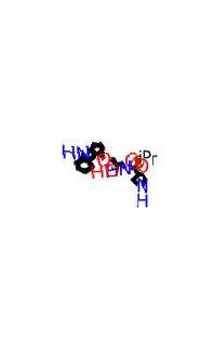 CC(C)S(=O)(=O)C(NC[C@H](O)COc1cccc2[nH]c3ccccc3c12)C1CCNCC1